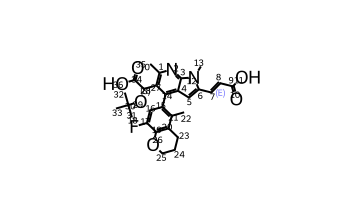 Cc1nc2c(cc(/C=C/C(=O)O)n2C)c(-c2cc(F)c3c(c2C)CCCO3)c1[C@H](OC(C)(C)C)C(=O)O